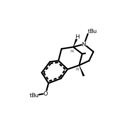 CC1[C@@H]2Cc3ccc(OC(C)(C)C)cc3[C@@]1(C)CCN2C(C)(C)C